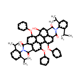 CC(C)c1cccc(C(C)C)c1N1C(=O)c2cc(O)c3c4c(Oc5ccccc5)cc5c6c(cc(Oc7ccccc7)c(c7c(Oc8ccccc8)cc(c2c37)C1=O)c64)C(=O)N(c1c(C(C)C)cccc1C(C)C)C5=O